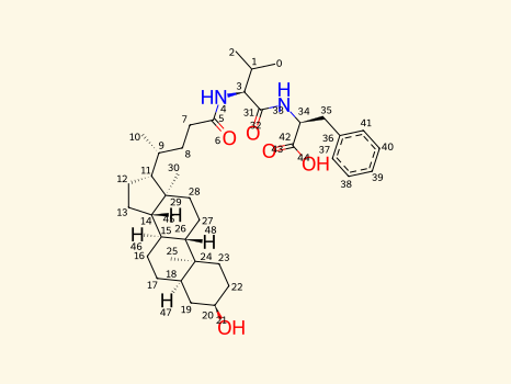 CC(C)[C@H](NC(=O)CC[C@@H](C)[C@H]1CC[C@H]2[C@@H]3CC[C@@H]4C[C@H](O)CC[C@]4(C)[C@H]3CC[C@]12C)C(=O)N[C@@H](Cc1ccccc1)C(=O)O